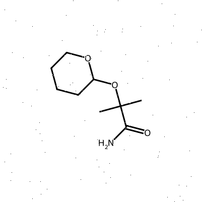 CC(C)(OC1CCCCO1)C(N)=O